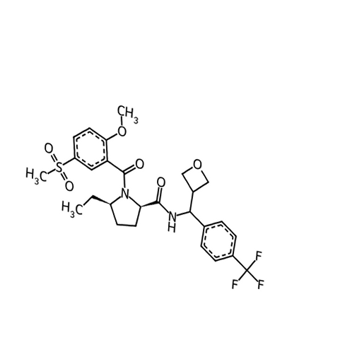 CC[C@@H]1CC[C@H](C(=O)NC(c2ccc(C(F)(F)F)cc2)C2COC2)N1C(=O)c1cc(S(C)(=O)=O)ccc1OC